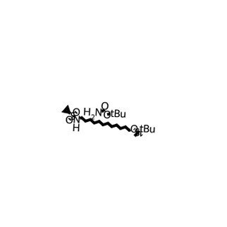 CC(C)(C)OC(N)=O.CC(C)(C)[Si](C)(C)OCCCCCCCCCCCCNS(=O)(=O)C1CC1